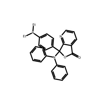 CCN(CC)c1ccc(C2(N(c3ccccc3)c3ccccc3)OC(=O)c3cccnc32)cc1